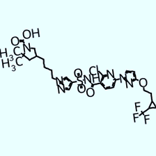 CC1(C)CC(CCCCn2cc(S(=O)(=O)NC(=O)c3ccc(-n4ccc(OCCC5CC5C(F)(F)F)n4)nc3Cl)cn2)CN1C(=O)O